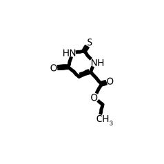 CCOC(=O)c1cc(=O)[nH]c(=S)[nH]1